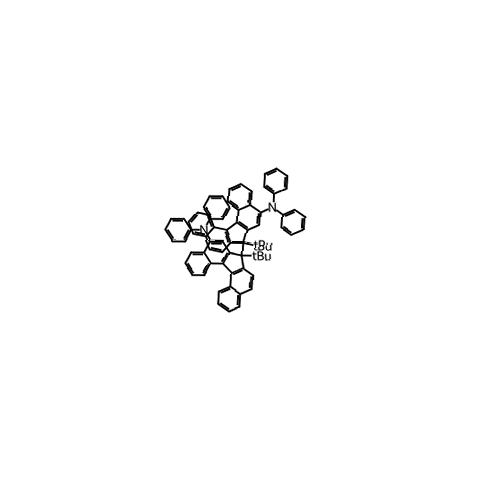 CC(C)(C)C1(C2(C(C)(C)C)c3ccc4ccccc4c3-c3c2cc(N(c2ccccc2)c2ccccc2)c2ccccc32)c2ccc3ccccc3c2-c2c1cc(N(c1ccccc1)c1ccccc1)c1ccccc21